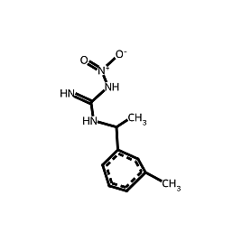 Cc1cccc(C(C)NC(=N)N[N+](=O)[O-])c1